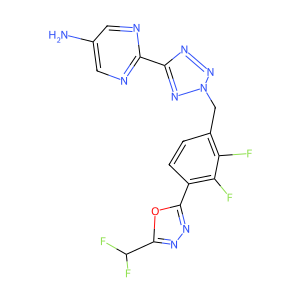 Nc1cnc(-c2nnn(Cc3ccc(-c4nnc(C(F)F)o4)c(F)c3F)n2)nc1